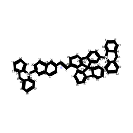 C(=C\c1ccc2cc(N3c4ccccc4Cc4ccccc43)ccc2c1)/c1ccc2c(c1)C1(c3ccccc3-c3ccccc31)c1cc(N3c4ccccc4Cc4ccccc43)ccc1-2